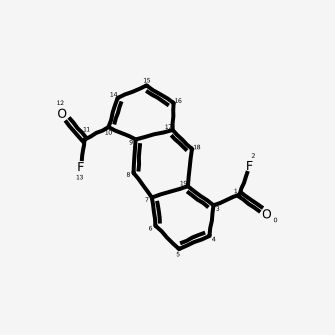 O=C(F)c1cccc2cc3c(C(=O)F)cccc3cc12